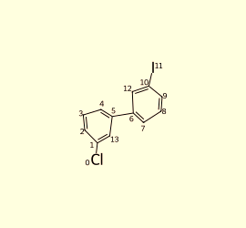 Clc1cccc(-c2cccc(I)c2)c1